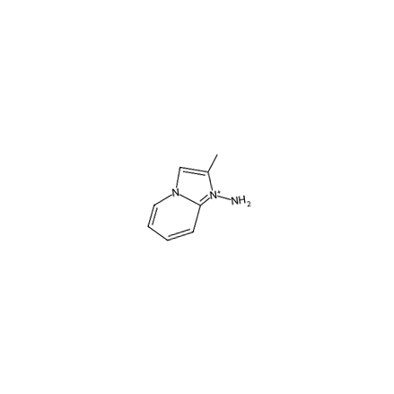 Cc1cn2ccccc2[n+]1N